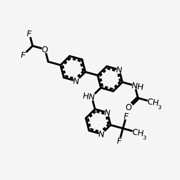 CC(=O)Nc1cc(Nc2ccnc(C(C)(F)F)n2)c(-c2ccc(COC(F)F)cn2)cn1